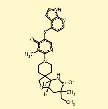 CCC1(C)C[C@@H]2OCC3(CCN(c4ncc(Sc5ccnc6[nH]ccc56)c(=O)n4C)CC3)[C@@H]2N[S@+]1[O-]